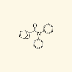 O=C(C1CC2C=CC1C2)N(c1ccccc1)c1ccccc1